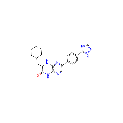 O=C1Nc2ncc(-c3ccc(-c4ncn[nH]4)cc3)nc2NC1CC1CCCCC1